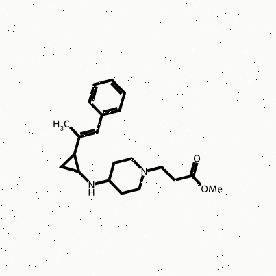 COC(=O)CCN1CCC(NC2CC2C(C)=Cc2ccccc2)CC1